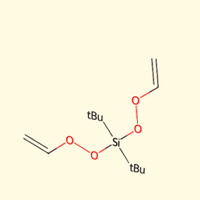 C=COO[Si](OOC=C)(C(C)(C)C)C(C)(C)C